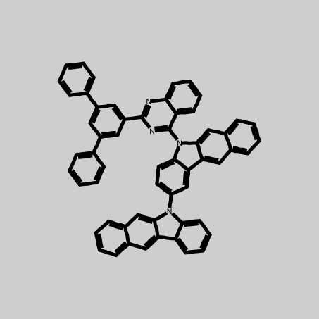 c1ccc(-c2cc(-c3ccccc3)cc(-c3nc(-n4c5ccc(-n6c7ccccc7c7cc8ccccc8cc76)cc5c5cc6ccccc6cc54)c4ccccc4n3)c2)cc1